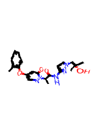 Cc1ccccc1Oc1cnn(C(C)C(=O)Nc2ccn(CC(C)(C)O)n2)c(=O)c1